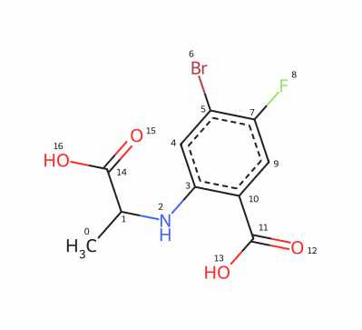 CC(Nc1cc(Br)c(F)cc1C(=O)O)C(=O)O